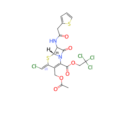 CC(=O)OCC1=C(C(=O)OCC(Cl)(Cl)Cl)N2C(=O)C(NC(=O)Cc3cccs3)[C@H]2S/C1=C\Cl